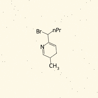 CCCC(Br)C1=CCC(C)C=N1